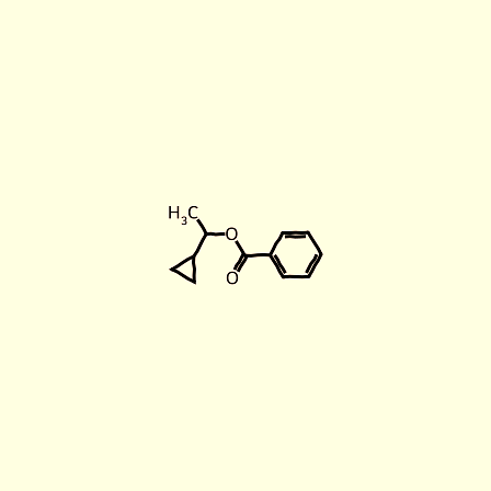 CC(OC(=O)c1ccccc1)C1CC1